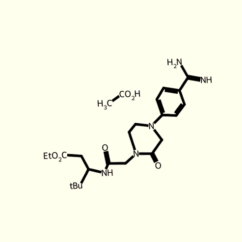 CC(=O)O.CCOC(=O)CC(NC(=O)CN1CCN(c2ccc(C(=N)N)cc2)CC1=O)C(C)(C)C